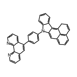 C1=Cc2cccc3cc4c(c(c23)C1)c1ccccc1n4-c1ccc(-c2cc3cccnc3c3ncccc23)cc1